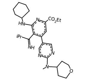 CCOC(=O)c1cc(-c2cnc(N(C)C3CCOCC3)nc2)c(C(=N)C(C)C)c(NC2CCCCC2)n1